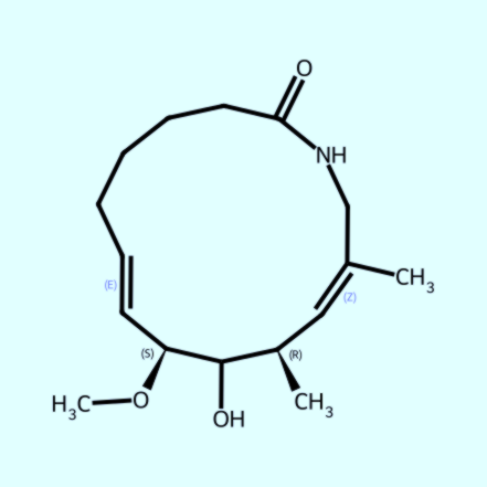 CO[C@H]1/C=C/CCCCC(=O)NC/C(C)=C\[C@@H](C)C1O